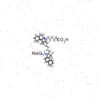 COCC[N+]1=C(/C=C/C=C/C=C2/N(CCCCCC(=O)O)c3ccc4ccccc4c3C2(C)C)C(C)(C)c2c1ccc1ccccc21